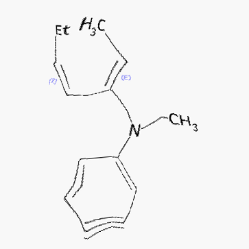 C/C=C(\C=C/CC)N(C)c1cc#ccc1